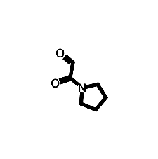 O=CC(=O)N1CCCC1